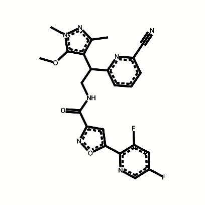 COc1c(C(CNC(=O)c2cc(-c3ncc(F)cc3F)on2)c2cccc(C#N)n2)c(C)nn1C